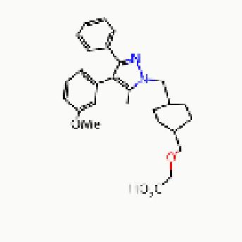 COc1cccc(-c2c(-c3ccccc3)nn(CC3CCC(COCC(=O)O)CC3)c2C)c1